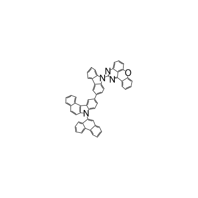 c1ccc2c(c1)Oc1cccc3nc(-n4c5ccccc5c5cc(-c6ccc7c(c6)c6c8ccccc8ccc6n7-c6cc7ccccc7c7ccccc67)ccc54)nc-2c13